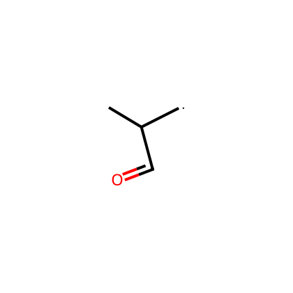 [CH2]C(C)C=O